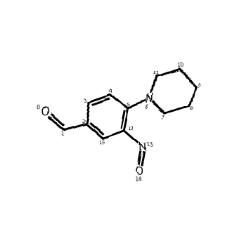 O=Cc1ccc(N2CCCCC2)c(N=O)c1